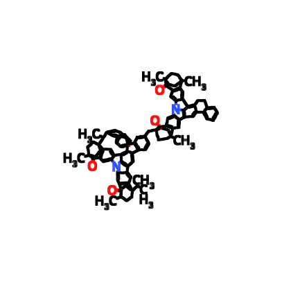 CC(C)C12CCC(C)(CC1)C(=O)c1cc3c(cc12)c1cc2c4c5c6cc7c(cc6n3c15)C(=O)C1(C)CCC7(CC1)C(C)c1ccc3c(c1)-c1ccccc1C34c1cc(CC34CCC(C)(CC3)c3cc5c6cc7c(c8c9cc%10c(cc9n(c5cc3C4=O)c68)C(=O)C3(C)CCC%10(C)CC3)CCc3ccccc3-7)ccc1-2